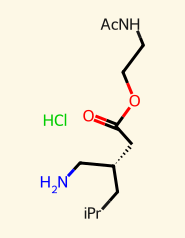 CC(=O)NCCOC(=O)C[C@@H](CN)CC(C)C.Cl